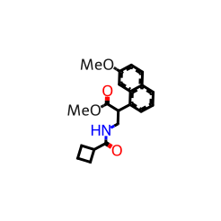 COC(=O)C(CNC(=O)C1CCC1)c1cccc2ccc(OC)cc12